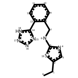 CCc1cnc([N]Cc2ccccc2-c2nnn[nH]2)s1